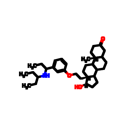 CCC(CC)NC(CC)c1cccc(OCC[C@]23CCC4C(CCC5CC(=O)CC[C@@]54C)C2CC[C@@H]3O)c1